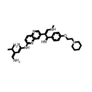 CN/C=C(\C(=N)c1ccc(OCCN2CCCCC2)cc1)c1cnc2ccc(N/C(N)=C/C(=C\N)C(C)C)nc2c1